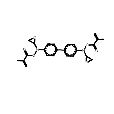 C=C(C)C(=O)ON(c1ccc(-c2ccc(N(OC(=O)C(=C)C)C3CO3)cc2)cc1)C1CO1